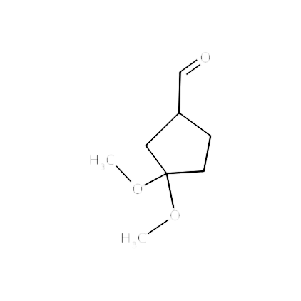 COC1(OC)CCC(C=O)C1